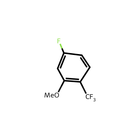 COc1cc(F)ccc1C(F)(F)F